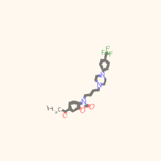 CC(=O)c1ccc2c(c1)oc(=O)n2CCCCN1CCN(c2ccc(C(F)(F)F)cc2)CC1